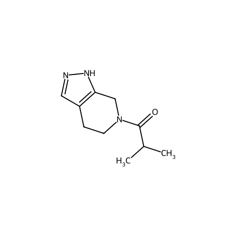 CC(C)C(=O)N1CCc2cn[nH]c2C1